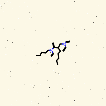 C=CN(C=C)CC(CCCCC)C(=C)N(C=C)CCCCC